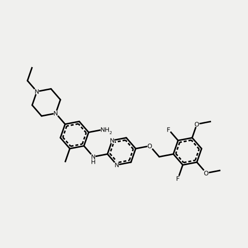 CCN1CCN(c2cc(C)c(Nc3ncc(OCc4c(F)c(OC)cc(OC)c4F)cn3)c(N)c2)CC1